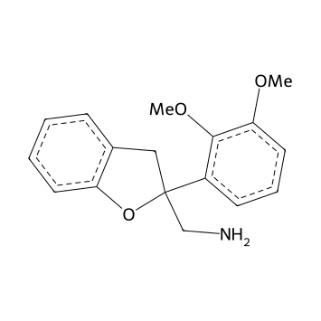 COc1cccc(C2(CN)Cc3ccccc3O2)c1OC